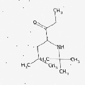 CCC(=O)C(CC(C)C)NC(C)(C)C